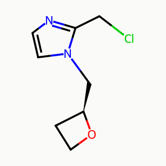 ClCc1nccn1C[C@@H]1CCO1